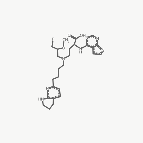 COC(CF)CN(CCCCc1ccc2c(n1)NCCC2)CCC(Nc1ncnc2sccc12)C(=O)O